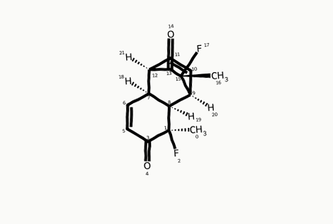 C[C@]1(F)C(=O)C=C[C@@H]2[C@H]1[C@@H]1C=C[C@H]2C(=O)[C@]1(C)F